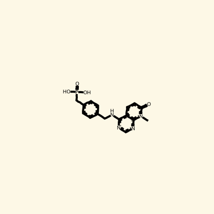 Cn1c(=O)ccc2c(NCc3ccc(CP(=O)(O)O)cc3)ncnc21